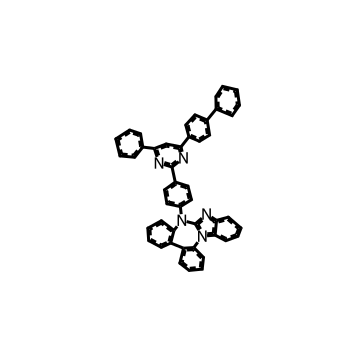 c1ccc(-c2ccc(-c3cc(-c4ccccc4)nc(-c4ccc(N5c6ccccc6-c6ccccc6-n6c5nc5ccccc56)cc4)n3)cc2)cc1